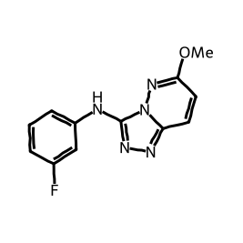 COc1ccc2nnc(Nc3cccc(F)c3)n2n1